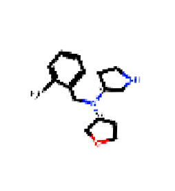 FC(F)(F)c1ccccc1CN([C@@H]1CCOC1)[C@H]1CCNC1